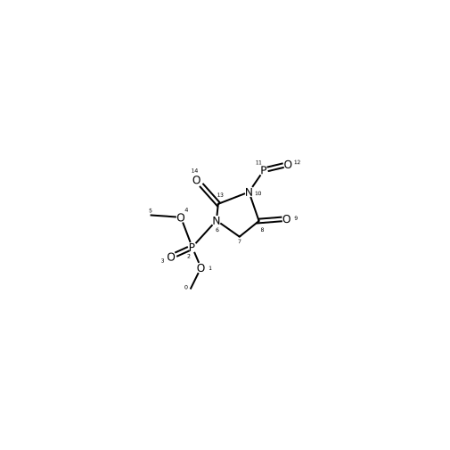 COP(=O)(OC)N1CC(=O)N(P=O)C1=O